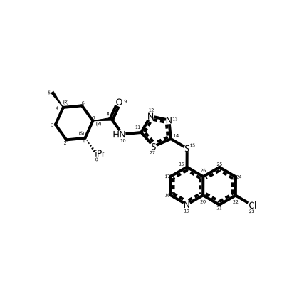 CC(C)[C@@H]1CC[C@@H](C)C[C@H]1C(=O)Nc1nnc(Sc2ccnc3cc(Cl)ccc23)s1